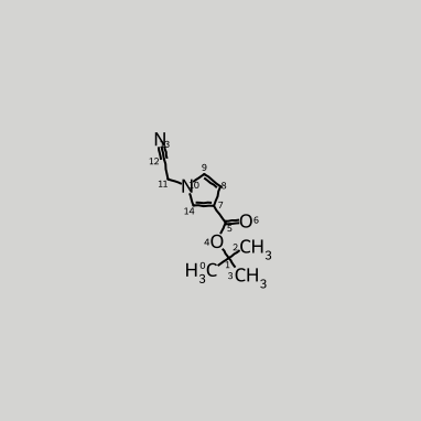 CC(C)(C)OC(=O)c1ccn(CC#N)c1